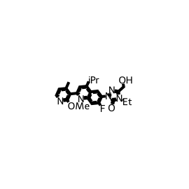 CCn1c(CO)nn(-c2cc3c(C(C)C)cc(-c4c(C)ccnc4OC)nc3cc2F)c1=O